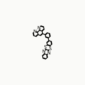 c1cc(-c2ccc3c(c2)Sc2nc4ccccc4nc2S3)cc(-c2cc3cccnc3c3ncccc23)c1